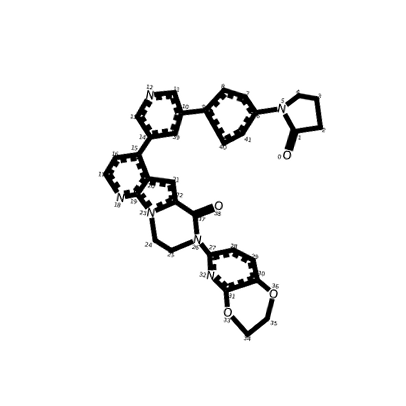 O=C1CCCN1c1ccc(-c2cncc(-c3ccnc4c3cc3n4CCN(c4ccc5c(n4)OCCO5)C3=O)c2)cc1